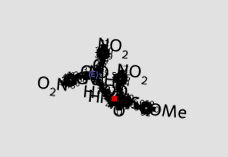 COc1ccc(CS[C@H]2C[C@@H](C(=O)N3CC(NC(=O)CCCN/C(=N\C(=O)OCc4ccc([N+](=O)[O-])cc4)NC(=O)OCc4ccc([N+](=O)[O-])cc4)C3)N(C(=O)OCc3ccc([N+](=O)[O-])cc3)C2)cc1